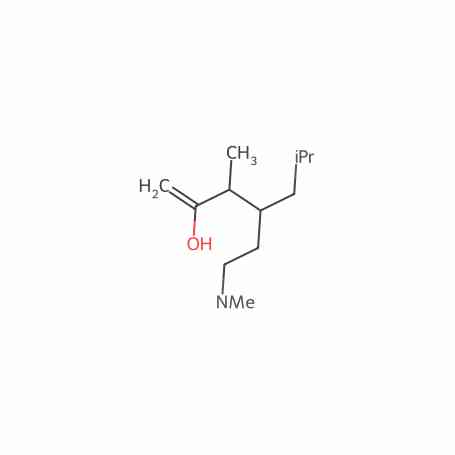 C=C(O)C(C)C(CCNC)CC(C)C